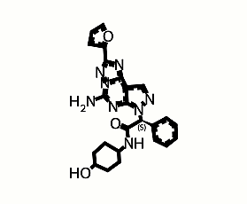 Nc1nc2c(cnn2[C@H](C(=O)NC2CCC(O)CC2)c2ccccc2)c2nc(-c3ccco3)nn12